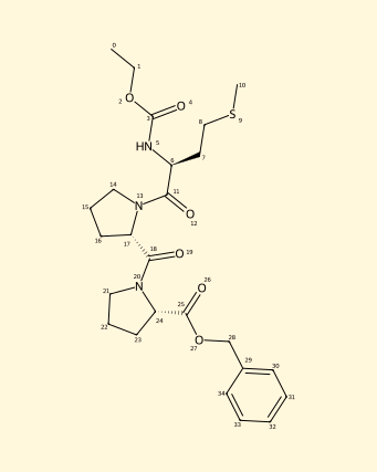 CCOC(=O)N[C@@H](CCSC)C(=O)N1CCC[C@H]1C(=O)N1CCC[C@H]1C(=O)OCc1ccccc1